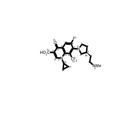 CNCC[C@@H]1CCN(c2c(F)cc3c(=O)c(C(=O)O)cn(C4CC4)c3c2C(F)(F)F)C1